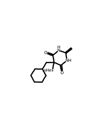 C=C1NC(=O)C(CCCCCC)(CC2CCCCC2)C(=O)N1